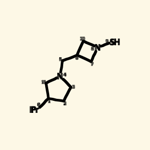 CC(C)C1CCN(CC2CN(S)C2)C1